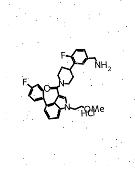 COCCn1cc(C(=O)N2CCC(c3cc(CN)ccc3F)CC2)c2c(-c3ccc(F)cc3)cccc21.Cl